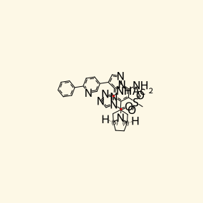 CC(=O)Nc1nncn1C(=O)N1[C@@H]2CC[C@H]1CC(c1nc3c(-c4ccc(-c5ccccc5)nc4)cnn3c(N)c1S(C)(=O)=O)C2